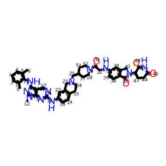 Cc1cccc(C)c1Nc1nn(C)c2nc(Nc3ccc4c(c3)CN(CC3CCN(C(=O)CNc5ccc6c(c5)CN(C5CCC(=O)NC5=O)C6=O)CC3)CC4)ncc12